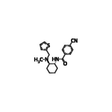 CN(Cc1cccs1)[C@@H]1CCCC[C@H]1NC(=O)c1ccc(C#N)cc1